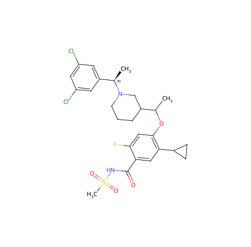 CC(Oc1cc(F)c(C(=O)NS(C)(=O)=O)cc1C1CC1)C1CCCN([C@H](C)c2cc(Cl)cc(Cl)c2)C1